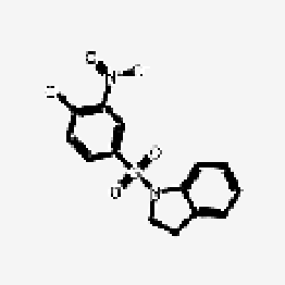 O=[N+]([O-])c1cc(S(=O)(=O)N2CCc3ccccc32)ccc1Cl